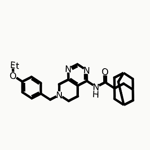 CCOc1ccc(CN2CCc3c(ncnc3NC(=O)C34CC5CC(CC(C5)C3)C4)C2)cc1